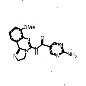 COc1cccc2c1N=C(NC(=O)c1cnc(N)nc1)N1CCN=C21